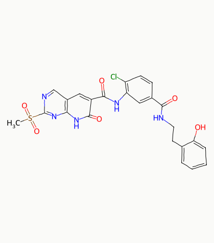 CS(=O)(=O)c1ncc2cc(C(=O)Nc3cc(C(=O)NCCc4ccccc4O)ccc3Cl)c(=O)[nH]c2n1